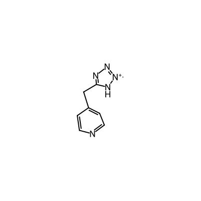 c1cc(CC2=NN=[N+]N2)ccn1